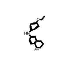 CCOc1ccc(Nc2ccc3c(c2)CCC[C@H]3C)cc1